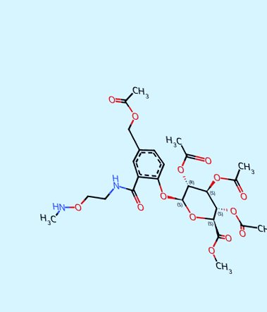 CNOCCNC(=O)c1cc(COC(C)=O)ccc1O[C@@H]1O[C@H](C(=O)OC)[C@@H](OC(C)=O)[C@H](OC(C)=O)[C@H]1OC(C)=O